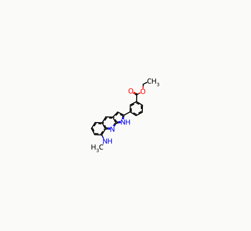 CCOC(=O)c1cccc(-c2cc3cc4cccc(NC)c4nc3[nH]2)c1